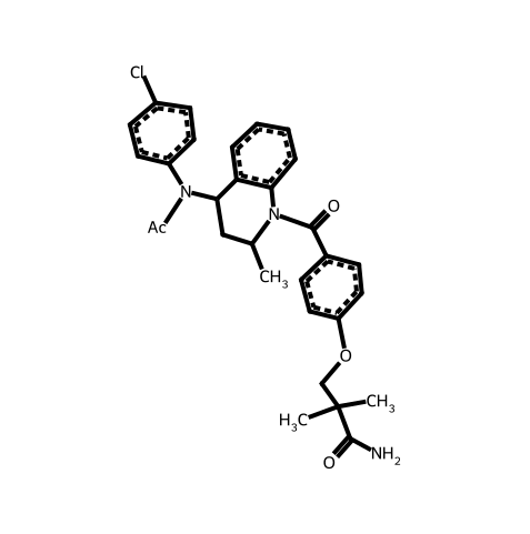 CC(=O)N(c1ccc(Cl)cc1)C1CC(C)N(C(=O)c2ccc(OCC(C)(C)C(N)=O)cc2)c2ccccc21